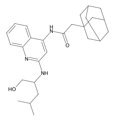 CC(C)CC(CO)Nc1cc(NC(=O)CC23CC4CC(CC(C4)C2)C3)c2ccccc2n1